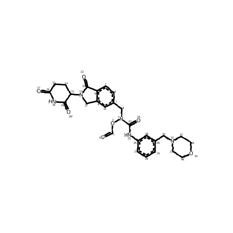 O=CON(Cc1ccc2c(c1)CN(C1CCC(=O)NC1=O)C2=O)C(=O)Nc1cccc(CN2CCOCC2)c1